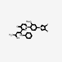 COc1cc(-n2cc(F)c(F)c2)ccc1-n1ccc(=O)c(/C(=C/C(C)=N)Nc2ccccc2)n1